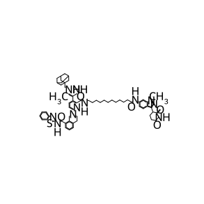 C/C(NCC12CC3CC(CC(C3)C1)C2)=C(/C=N)c1ccc(N2CCc3cccc(C(=O)Nc4nc5ccccc5s4)c3C2)nc1C(=O)NCCCCCCCCCCCC(=O)Nc1ccc2c(C3CCC(=O)NC3=O)nn(C)c2c1